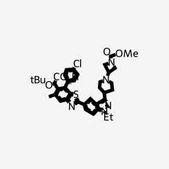 CCn1nc(C2CCN(C3CN(C(=O)OC)C3)CC2)c2cc(-c3nc4cc(C)c(C(OC(C)(C)C)C(=O)O)c(-c5ccc(Cl)cc5)c4s3)ccc21